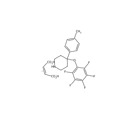 Cc1ccc(C2(Oc3c(F)c(F)c(F)c(F)c3F)CCNCC2)cc1.O=C(O)/C=C\C(=O)O